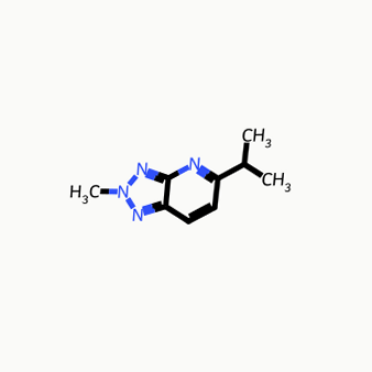 CC(C)c1ccc2nn(C)nc2n1